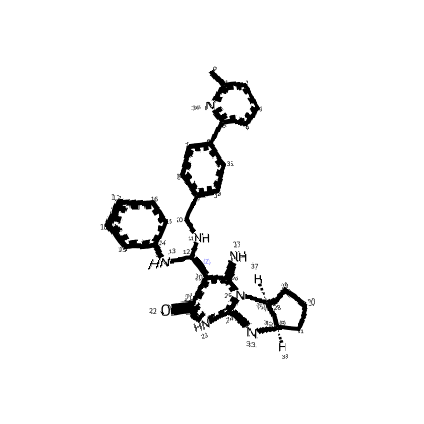 Cc1cccc(-c2ccc(CN/C(Nc3ccccc3)=c3/c(=O)[nH]c4n(c3=N)[C@H]3CCC[C@H]3N=4)cc2)n1